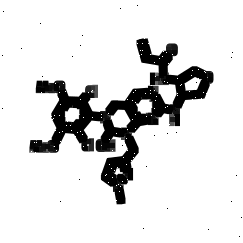 C=CC(=O)NC1COCC1Nc1ncc2c(n1)N(Cc1ccn(C)n1)C(O)N(c1c(Cl)c(OC)cc(OC)c1Cl)C2